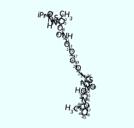 Cc1ccc(OCC(=O)NCCOCCOCCOCCOCC#Cc2csc3c(=O)n(CC4(O)CCN(C(=O)C[C@@H](C)c5ccccc5)CC4)cnc23)c2nc(NC(=O)C(C)C)sc12